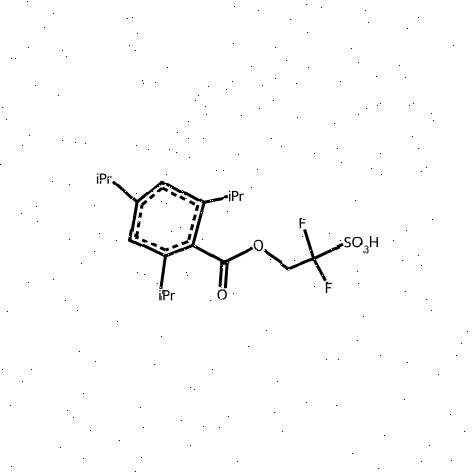 CC(C)c1cc(C(C)C)c(C(=O)OCC(F)(F)S(=O)(=O)O)c(C(C)C)c1